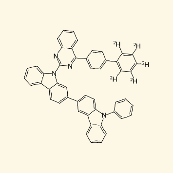 [2H]c1c([2H])c([2H])c(-c2ccc(-c3nc(-n4c5ccccc5c5ccc(-c6ccc7c(c6)c6ccccc6n7-c6ccccc6)cc54)nc4ccccc34)cc2)c([2H])c1[2H]